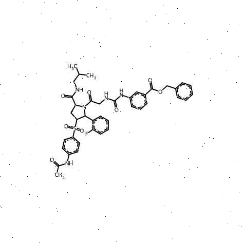 CC(=O)Nc1ccc(S(=O)(=O)C2CC(C(=O)NCC(C)C)N(C(=O)CNC(=O)Nc3cccc(C(=O)OCc4ccccc4)c3)C2c2ccccc2F)cc1